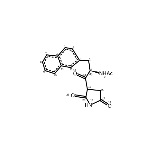 CC(=O)N[C@H](Cc1ccc2ccccc2c1)C(=O)C1CC(=O)NC1=O